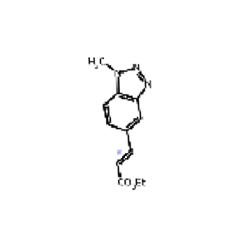 CCOC(=O)/C=C/c1ccc2c(c1)nnn2C